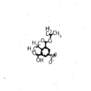 CC(C)OC(=O)c1cc([N+](=O)[O-])cc(C(=O)O)c1C(C)C